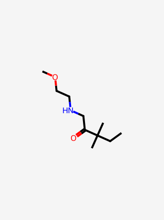 CCC(C)(C)C(=O)CNCCOC